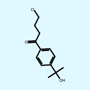 CC(C)(O)c1ccc(C(=O)CCCCl)cc1